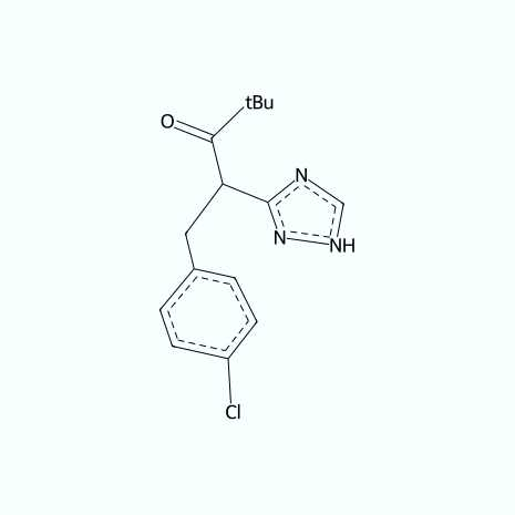 CC(C)(C)C(=O)C(Cc1ccc(Cl)cc1)c1nc[nH]n1